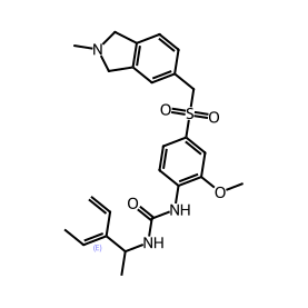 C=C/C(=C\C)C(C)NC(=O)Nc1ccc(S(=O)(=O)Cc2ccc3c(c2)CN(C)C3)cc1OC